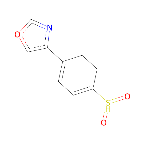 O=[SH](=O)C1=CC=C(c2cocn2)CC1